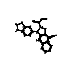 COC(=O)N1Cc2c([nH]c3ccccc3c2=O)[C@H]1c1ccc2c(c1)CCO2